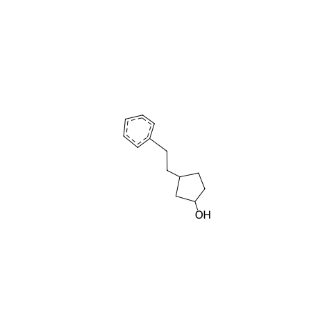 OC1CCC(CCc2ccccc2)C1